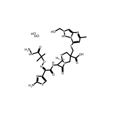 CC1=NC2=CN(CO)NN2C(SCC2(C(=O)O)CS[C@@H]3C(NC(=O)C(=NOC(C)(C)C(=O)NN)c4csc(N)n4)C(=O)N3C2)=C1.Cl.Cl